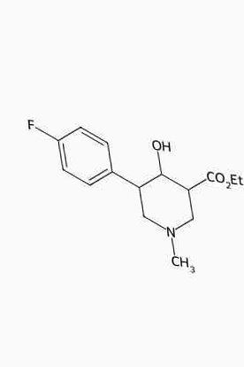 CCOC(=O)C1CN(C)CC(c2ccc(F)cc2)C1O